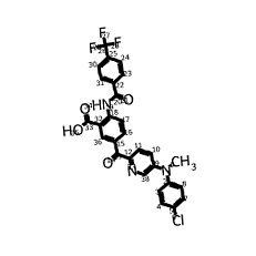 CN(c1ccc(Cl)cc1)c1ccc(C(=O)c2ccc(NC(=O)c3ccc(C(F)(F)F)cc3)c(C(=O)O)c2)nc1